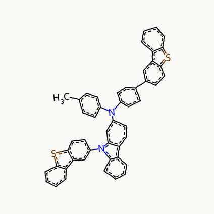 Cc1ccc(N(c2ccc(-c3ccc4sc5ccccc5c4c3)cc2)c2ccc3c4ccccc4n(-c4ccc5sc6ccccc6c5c4)c3c2)cc1